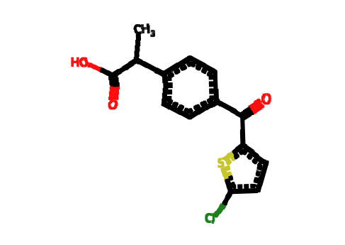 CC(C(=O)O)c1ccc(C(=O)c2ccc(Cl)s2)cc1